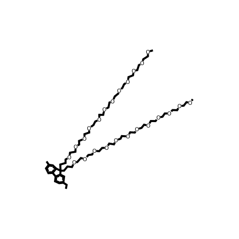 CCc1ccc2c(c1)C(CCCOCCOCCOCCOCCOCCOCCOCCOCCOCCOCCOCCOC)(CCCOCCOCCOCCOCCOCCOCCOCCOCCOCCOCCOCCOC)c1cc(C)ccc1-2